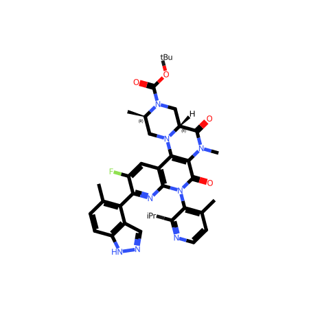 Cc1ccnc(C(C)C)c1-n1c(=O)c2c(c3cc(F)c(-c4c(C)ccc5[nH]ncc45)nc31)N1C[C@@H](C)N(C(=O)OC(C)(C)C)C[C@@H]1C(=O)N2C